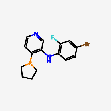 Fc1cc(Br)ccc1Nc1cnccc1P1CCCC1